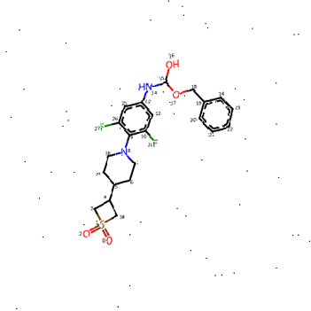 O=S1(=O)CC(C2CCN(c3c(F)cc(NC(O)OCc4ccccc4)cc3F)CC2)C1